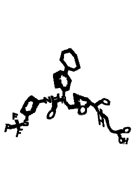 O=C(O)CCNC(=O)c1ccc(CN(C(=O)Nc2cccc(SC(F)(F)F)c2)c2ccc(C3CCCCC3)cc2)o1